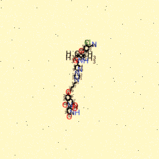 CC1(C)C(NC(=O)c2ccc(N3CCN(CCCCCOc4ccc5c(c4)CC(=O)N([C@@H]4CCC(=O)NC4=O)C5=O)CC3)nc2)C(C)(C)C1Oc1ccc(C#N)c(Cl)c1